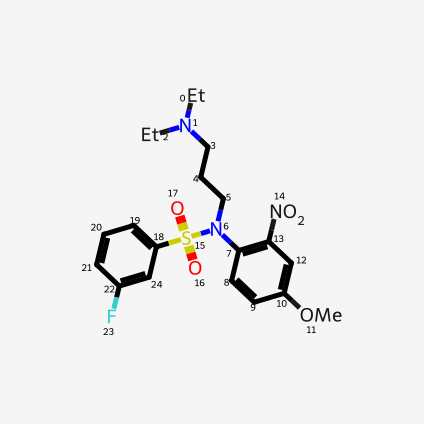 CCN(CC)CCCN(c1ccc(OC)cc1[N+](=O)[O-])S(=O)(=O)c1cccc(F)c1